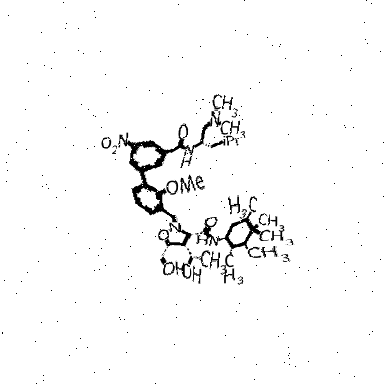 COc1c(CN2O[C@@H](CO)[C@@H]([C@H](C)O)[C@H]2C(=O)N[C@H]2C[C@@H](C)C(C)(C)[C@@H](C)[C@@H]2C)cccc1-c1cc(C(=O)N[C@@H](CC(C)C)CN(C)C)cc([N+](=O)[O-])c1